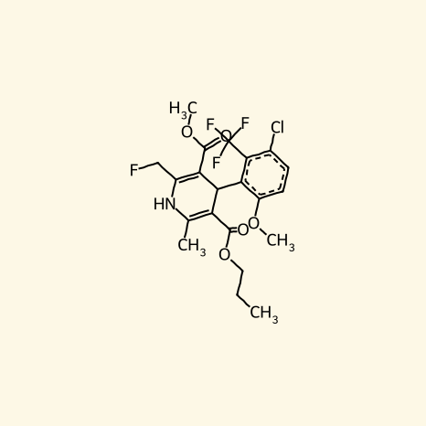 CCCOC(=O)C1=C(C)NC(CF)=C(C(=O)OC)C1c1c(OC)ccc(Cl)c1C(F)(F)F